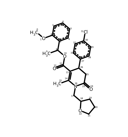 COc1ccccc1C(C)OC(=O)C1=C(C)N(CC2CCCO2)C(=O)CC1c1ccc(Cl)cc1